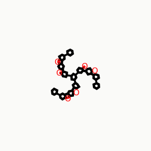 c1ccc(-c2ccc3oc4cc5oc6ccc(-c7cc(-c8ccc9oc%10cc%11oc%12ccc(-c%13ccccc%13)cc%12c%11cc%10c9c8)cc(-c8ccc9oc%10cc%11oc%12ccc(-c%13ccccc%13)cc%12c%11cc%10c9c8)c7)cc6c5cc4c3c2)cc1